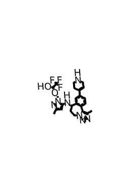 Cc1cc(NC2CCn3nnc(C)c3-c3ccc(C4=CCNCC4)cc32)n(C)n1.O=C(O)C(F)(F)F